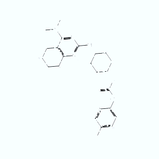 CN(C)c1nc(N[C@H]2CC[C@@H](NC(=S)Nc3ccc(Cl)cc3)CC2)nc2c1CCCC2